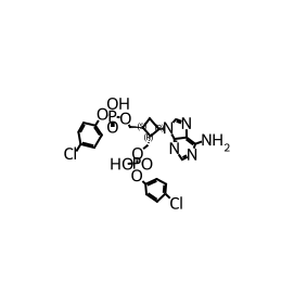 Nc1ncnc2c1ncn2[C@@H]1C[C@H](COP(=O)(O)Oc2ccc(Cl)cc2)[C@H]1COP(=O)(O)Oc1ccc(Cl)cc1